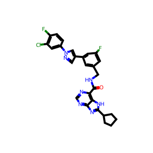 O=C(NCc1cc(F)cc(-c2cnn(-c3ccc(F)c(Cl)c3)c2)c1)c1ncnc2nc(C3CCCC3)[nH]c12